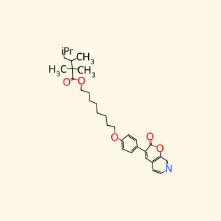 CC(C)CC(C)C(C)(C)C(=O)OCCCCCCCCOc1ccc(-c2cc3ccncc3oc2=O)cc1